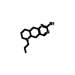 CCCN1CCCC2Cc3nc(S)ncc3CC21